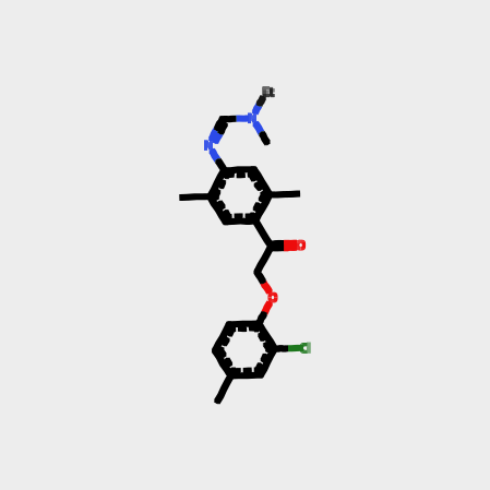 CCN(C)/C=N\c1cc(C)c(C(=O)COc2ccc(C)cc2Cl)cc1C